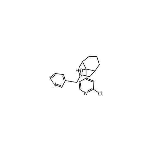 OC1(c2ccnc(Cl)c2)C2CCCC1CN(Cc1cccnc1)C2